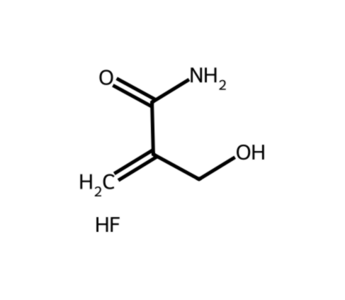 C=C(CO)C(N)=O.F